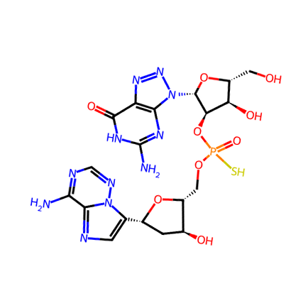 Nc1nc2c(nnn2[C@@H]2O[C@H](CO)[C@@H](O)[C@H]2OP(=O)(S)OC[C@H]2O[C@@H](c3cnc4c(N)ncnn34)C[C@@H]2O)c(=O)[nH]1